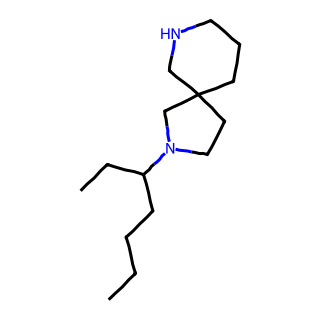 CCCCC(CC)N1CCC2(CCCNC2)C1